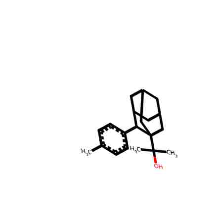 Cc1ccc(C2C3CC4CC(C3)CC2(C(C)(C)O)C4)cc1